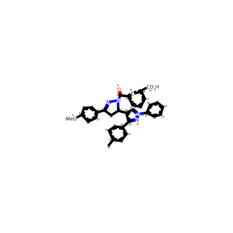 COc1ccc(C2=NN(C(=O)c3cccc(C(=O)O)c3)C(c3cn(-c4ccccc4)nc3-c3ccc(C)cc3)C2)cc1